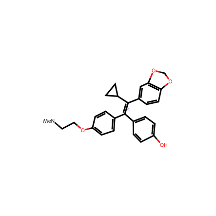 CNCCOc1ccc(/C(=C(/c2ccc3c(c2)OCO3)C2CC2)c2ccc(O)cc2)cc1